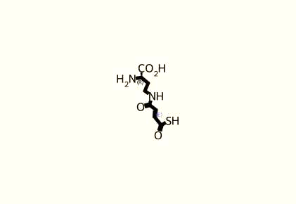 N[C@H](CCNC(=O)/C=C/C(=O)S)C(=O)O